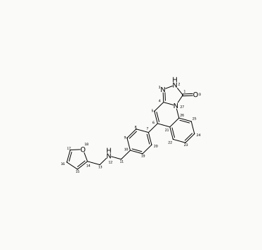 O=c1[nH]nc2cc(-c3ccc(CNCc4ccco4)cc3)c3ccccc3n12